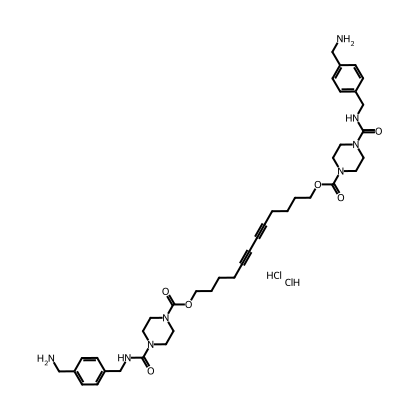 Cl.Cl.NCc1ccc(CNC(=O)N2CCN(C(=O)OCCCCC#CC#CCCCCOC(=O)N3CCN(C(=O)NCc4ccc(CN)cc4)CC3)CC2)cc1